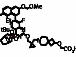 CCc1c(F)ccc2cc(OCOC)cc(-c3ncc4c(N5CC6CCC(C5)N6C(=O)OC(C)(C)C)nc(OCC5(CN6CCC7(CC6)CC(OCC(=O)O)C7)CC5)nc4c3F)c12